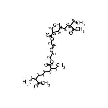 CCC(CCCCC(CC)C(=O)OCCOCCOC(=O)C(CC)CCCCC(CC)C(C)=O)C(C)=O